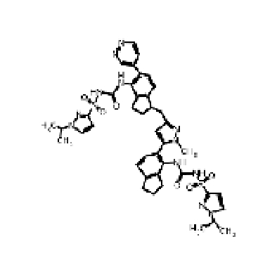 CC(C)n1ccc(S(=O)(=O)NC(=O)Nc2c(-c3cc(CC4CCc5c4ccc(-c4ccnnc4)c5NC(=O)NS(=O)(=O)c4ccn(C(C)C)n4)nn3C)ccc3c2CCC3)n1